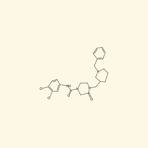 O=C1CN(C(=O)Nc2ccc(Cl)c(Cl)c2)CCN1CC1CCCN(Cc2ccccc2)C1